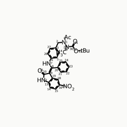 CC(=O)N(Cc1ccc(N/C(=C2\C(=O)Nc3ccc([N+](=O)[O-])cc32)c2ccccc2)cc1)N(C)C(=O)OC(C)(C)C